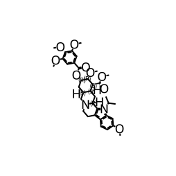 COC(=O)[C@H]1[C@H]2C[C@@H]3c4c(c5ccc(OC)cc5n4C(C)C)CCN3C[C@H]2C[C@@H](OC(=O)c2cc(OC)c(OC)c(OC)c2)[C@@H]1OC